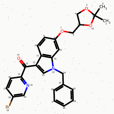 CC1(C)OCC(COc2ccc3c(C(=O)c4ccc(Br)cn4)cn(Cc4ccccc4)c3c2)O1